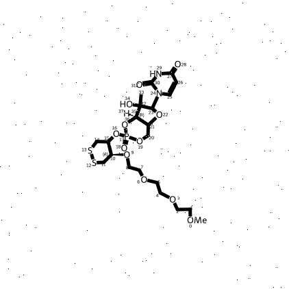 COCCOCCOCCO[C@H]1CSSCC1OP1(=O)OCC2OC(n3ccc(=O)[nH]c3=O)C(C)(O)[C@@H]2O1